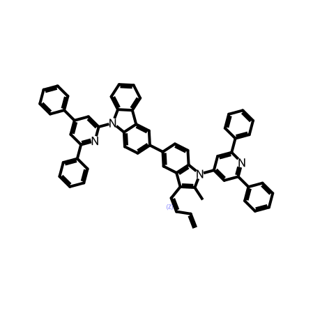 C=C/C=C\c1c(C)n(-c2cc(-c3ccccc3)nc(-c3ccccc3)c2)c2ccc(-c3ccc4c(c3)c3ccccc3n4-c3cc(-c4ccccc4)cc(-c4ccccc4)n3)cc12